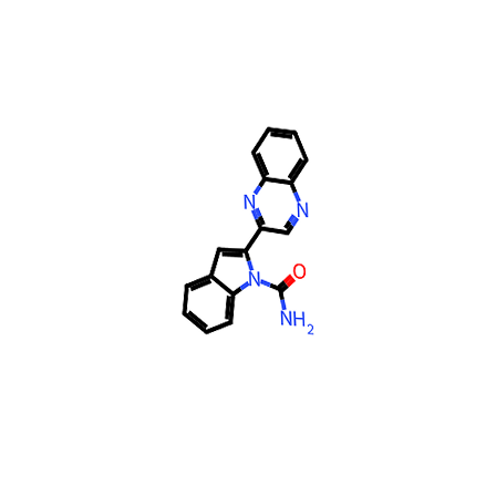 NC(=O)n1c(-c2cnc3ccccc3n2)cc2ccccc21